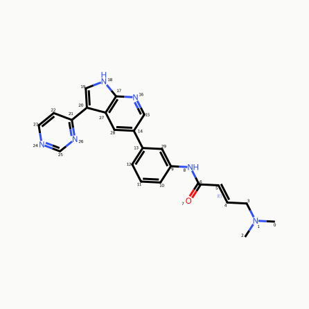 CN(C)C/C=C/C(=O)Nc1cccc(-c2cnc3[nH]cc(-c4ccncn4)c3c2)c1